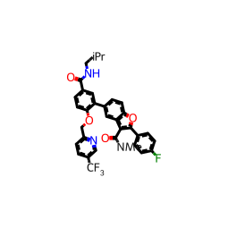 CNC(=O)c1c(-c2ccc(F)cc2)oc2ccc(-c3cc(C(=O)NCC(C)C)ccc3OCc3ccc(C(F)(F)F)cn3)cc12